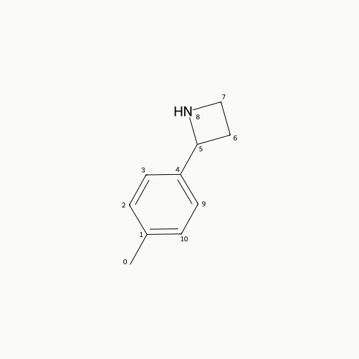 Cc1ccc(C2CCN2)cc1